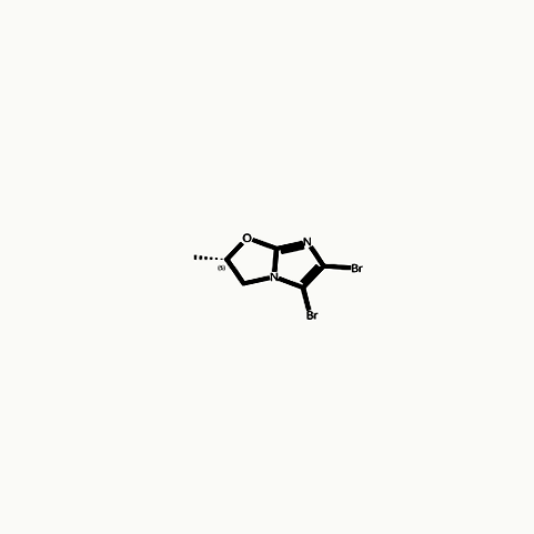 C[C@H]1Cn2c(nc(Br)c2Br)O1